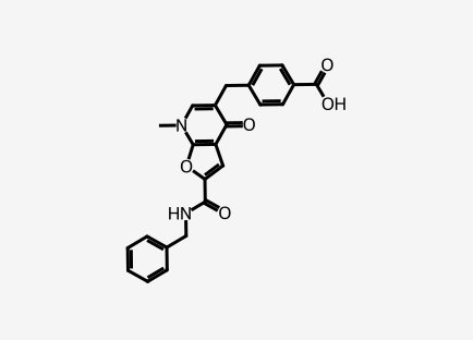 Cn1cc(Cc2ccc(C(=O)O)cc2)c(=O)c2cc(C(=O)NCc3ccccc3)oc21